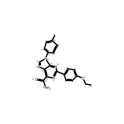 CCOc1ccc(-c2nc(C(N)=O)c3ncn(-c4ccc(C)cc4)c3n2)cc1